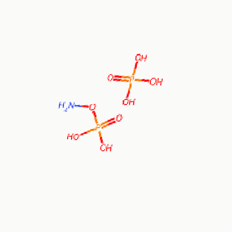 NOP(=O)(O)O.O=P(O)(O)O